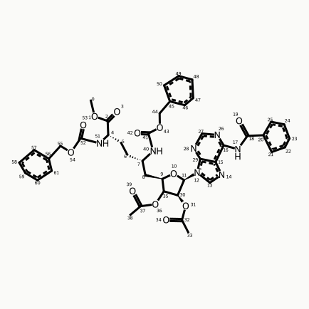 COC(=O)[C@H](CC[C@@H](C[C@H]1O[C@@H](n2cnc3c(NC(=O)c4ccccc4)ncnc32)[C@@H](OC(C)=O)C1OC(C)=O)NC(=O)OCc1ccccc1)NC(=O)OCc1ccccc1